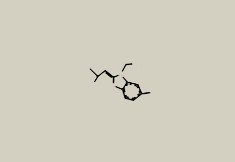 CCN1/C(=C/C(C)C)Sc2ccc(Cl)cc21